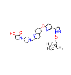 C[Si](C)(C)CCOCn1nccc1-c1ccc(Oc2ccc3nc(CN4CCC(N5CC[C@H](O)C5=O)CC4)ccc3c2)nc1